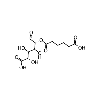 O=C[C@H](OC(=O)CCCCC(=O)O)[C@@H](O)[C@H](O)[C@H](O)C(=O)O